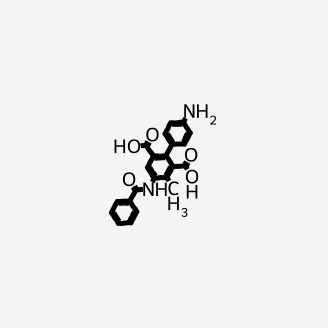 Cc1c(NC(=O)c2ccccc2)cc(C(=O)O)c(-c2ccc(N)cc2)c1C(=O)O